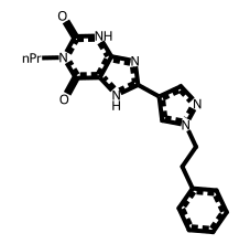 CCCn1c(=O)[nH]c2nc(-c3cnn(CCc4ccccc4)c3)[nH]c2c1=O